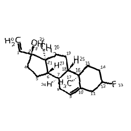 C=C[C@@]1(O)CC[C@H]2[C@@H]3CC=C4CC(F)CC[C@]4(C)[C@H]3CC[C@@]21C